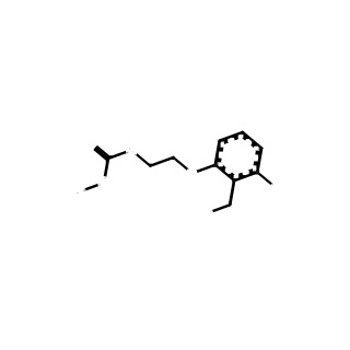 CC(C)(C)OC(=O)NCCSc1cccc(Br)c1CO